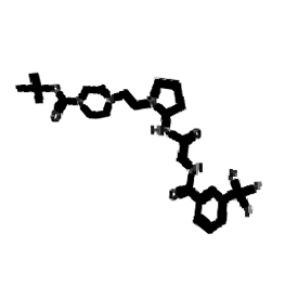 CC(C)(C)OC(=O)N1CCN(CCN2CCCC2NC(=O)CNC(=O)c2cccc(C(F)(F)F)c2)CC1